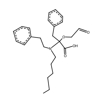 CCCCCCN(CCc1ccccc1)C(Cc1ccccc1)(OCC=O)C(=O)O